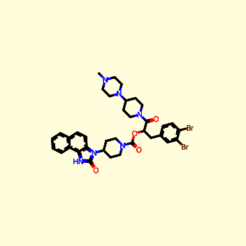 CN1CCN(C2CCN(C(=O)C(Cc3ccc(Br)c(Br)c3)OC(=O)N3CCC(n4c(=O)[nH]c5c6ccccc6ccc54)CC3)CC2)CC1